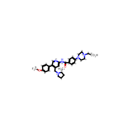 C[C@@H]1CCCN1Cc1cc(NC(=O)c2ccc(N3CCN(CC(=O)O)CC3)cc2)ncc1-c1ccc(OC(F)(F)F)cc1